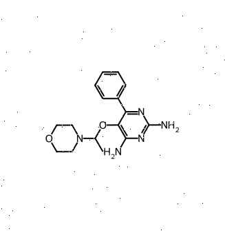 CC(Oc1c(N)nc(N)nc1-c1ccccc1)N1CCOCC1